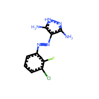 Nc1n[nH]c(N)c1N=Nc1cccc(Cl)c1F